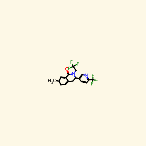 CC1C=C2C(=O)N(CC(F)(F)F)C(c3ccc(C(F)(F)F)nc3)CC2=CC1